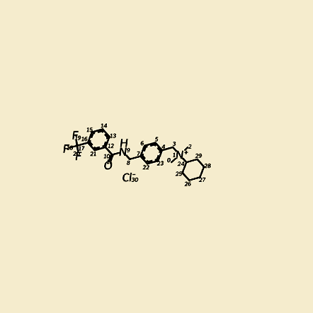 C[N+](C)(Cc1ccc(CNC(=O)c2cccc(C(F)(F)F)c2)cc1)C1CCCCC1.[Cl-]